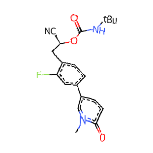 Cn1cc(-c2ccc(C[C@@H](C#N)OC(=O)NC(C)(C)C)c(F)c2)ccc1=O